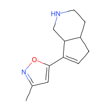 Cc1cc(C2=CCC3CCNCC23)on1